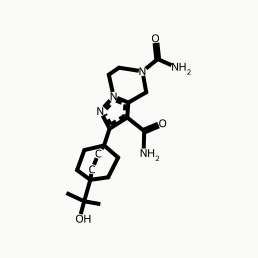 CC(C)(O)C12CCC(c3nn4c(c3C(N)=O)CN(C(N)=O)CC4)(CC1)CC2